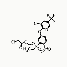 CCP(=O)(OCOC(=O)CCl)c1cc(Oc2ncc(C(F)(F)F)cc2Cl)ccc1[N+](=O)[O-]